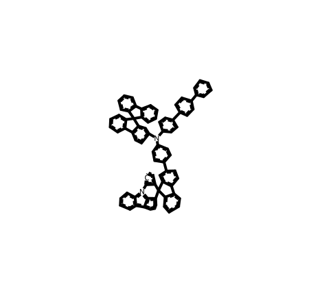 c1ccc(-c2ccc(-c3ccc(N(c4ccc(-c5ccc6c(c5)C5(c7ccccc7-6)c6ccccc6-n6c7ccccc7c7cccc5c76)cc4)c4ccc5c(c4)C4(c6ccccc6-c6ccccc64)c4ccccc4-5)cc3)cc2)cc1